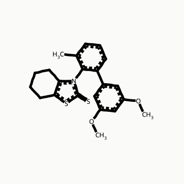 COc1cc(OC)cc(-c2cccc(C)c2-n2c3c(sc2=S)CCCC3)c1